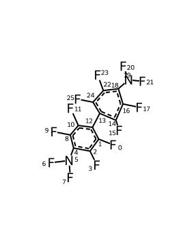 Fc1c(F)c(N(F)F)c(F)c(F)c1-c1c(F)c(F)c(N(F)F)c(F)c1F